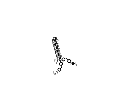 Nc1ccc(Cc2ccc(C(c3ccc(Cc4ccc(N)cc4)cc3)(C(F)(F)F)C(F)(F)C(F)(F)C(F)(F)C(F)(F)C(F)(F)C(F)(F)C(F)(F)C(F)(F)C(F)(F)C(F)(F)C(F)(F)C(F)(F)C(F)(F)F)cc2)cc1